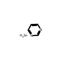 [SnH4].c1cncnc1